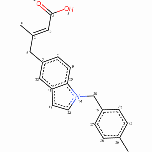 CC(=CC(=O)O)Cc1ccc2c(ccn2Cc2ccc(C)cc2)c1